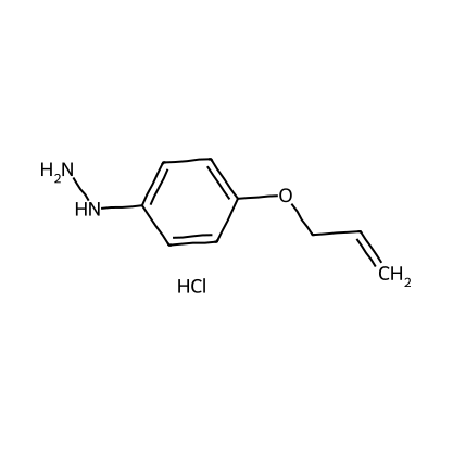 C=CCOc1ccc(NN)cc1.Cl